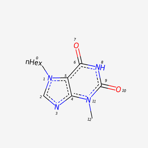 CCCCCCn1cnc2c1c(=O)[nH]c(=O)n2C